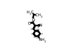 CC(C)COC(=O)/C(C#N)=C/c1ccc(N)cc1